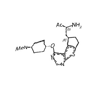 CN[C@H]1CC[C@H](Oc2ncnc3sc4c(c23)[C@@H](C[C@H](N)C(C)=O)CC4)CC1